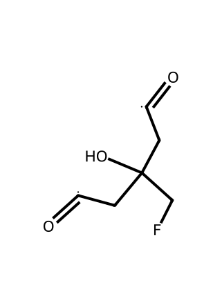 O=[C]CC(O)(CF)C[C]=O